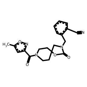 Cc1cc(C(=O)N2CCC3(CC2)CN(Cc2ccccc2C#N)C(=O)O3)no1